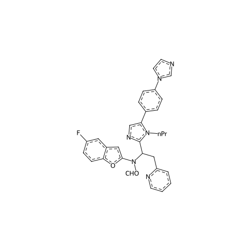 CCCn1c(-c2ccc(-n3ccnc3)cc2)cnc1C(Cc1ccccn1)N(C=O)c1cc2cc(F)ccc2o1